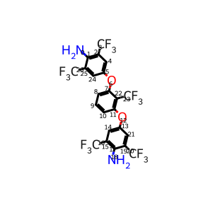 Nc1c(C(F)(F)F)cc(Oc2cccc(Oc3cc(C(F)(F)F)c(N)c(C(F)(F)F)c3)c2C(F)(F)F)cc1C(F)(F)F